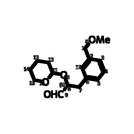 COCc1cccc(C[C@@H](C=O)OC2CCCCO2)c1